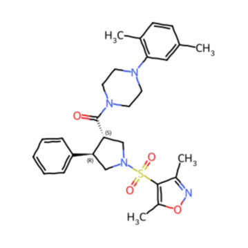 Cc1ccc(C)c(N2CCN(C(=O)[C@@H]3CN(S(=O)(=O)c4c(C)noc4C)C[C@H]3c3ccccc3)CC2)c1